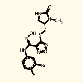 CN1C(=O)NC[C@H]1CSc1nonc1/C(=N\O)Nc1ccc(F)c(Br)c1